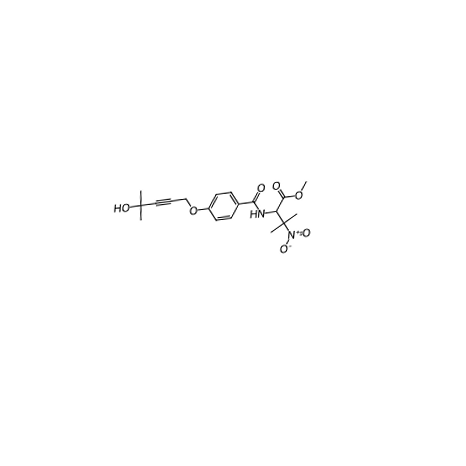 COC(=O)C(NC(=O)c1ccc(OCC#CC(C)(C)O)cc1)C(C)(C)[N+](=O)[O-]